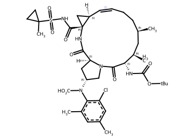 Cc1cc(C)c(N(C(=O)O)[C@@H]2C[C@H]3C(=O)N[C@]4(C(=O)NS(=O)(=O)C5(C)CC5)C[C@H]4/C=C\CC[C@@H](C)C[C@@H](C)[C@H](NC(=O)OC(C)(C)C)C(=O)N3C2)c(Cl)c1